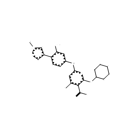 COc1cc(Nc2cc(C)c(C(N)=O)c(NC3CCCCC3)n2)ccc1-c1cnn(C)c1